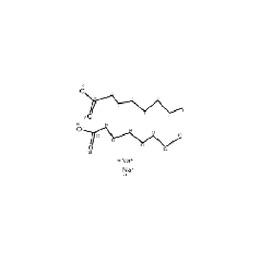 CCCCCCCC(=O)[O-].CCCCCCCC(=O)[O-].[Na+].[Na+]